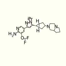 CC(C)n1nc(-c2cnc(N)c(OC(F)F)c2)cc1[C@H]1[C@@H]2CC(N3CCN4CCCC4C3)C[C@@H]21